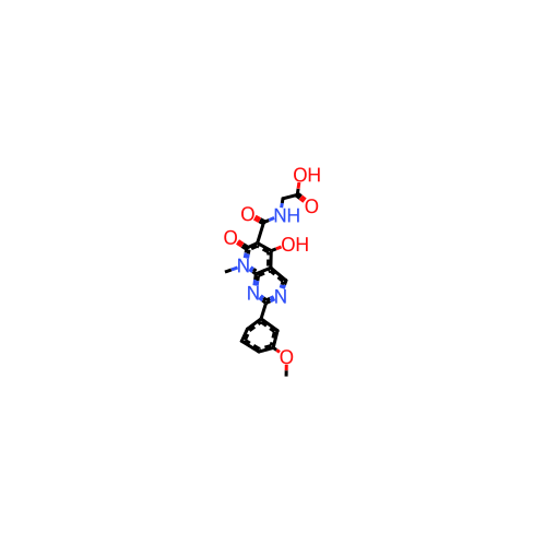 COc1cccc(-c2ncc3c(O)c(C(=O)NCC(=O)O)c(=O)n(C)c3n2)c1